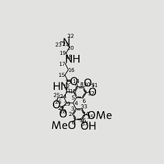 COc1cc(C2c3cc4c(cc3C(NC(=O)CCCNCCN(C)C)C3COC(=O)C23)OCO4)cc(OC)c1O